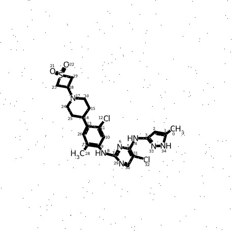 Cc1cc(Nc2nc(Nc3cc(Cl)c(C4CCN(C5CS(=O)(=O)C5)CC4)cc3C)ncc2Cl)n[nH]1